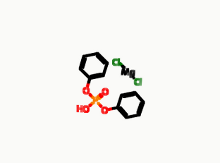 O=P(O)(Oc1ccccc1)Oc1ccccc1.[Cl][Mg][Cl]